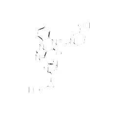 CC1CC1c1nc(-c2ncn3c2c(=O)n(CCN2CCCC(O)C2)c2ccccc23)no1